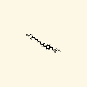 COC(=O)CCCCCCC(=O)Nc1ccc(COS(C)(=O)=O)cc1